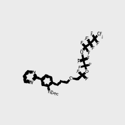 CCCCCCCCCCc1cc(-c2ncccn2)ccc1CCCOCC(F)(F)OC(F)(F)C(F)(F)OC(F)(F)C(F)(F)C(F)(F)C(F)(F)F